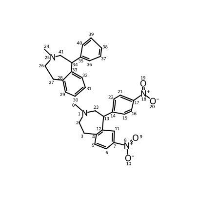 CN1CCc2ccc([N+](=O)[O-])cc2C(c2ccc([N+](=O)[O-])cc2)C1.CN1CCc2ccccc2C(c2ccccc2)C1